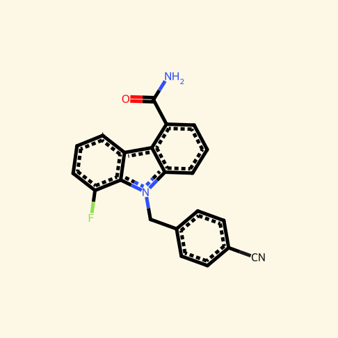 N#Cc1ccc(Cn2c3cccc(C(N)=O)c3c3[c]ccc(F)c32)cc1